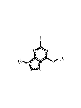 CSc1nc(F)nc2c1ncn2C